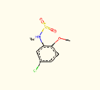 COc1ccc(Cl)cc1N[SH](=O)=O.[Na]